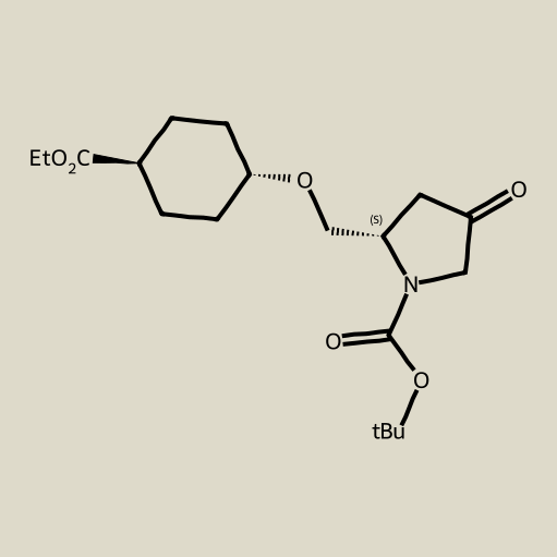 CCOC(=O)[C@H]1CC[C@H](OC[C@@H]2CC(=O)CN2C(=O)OC(C)(C)C)CC1